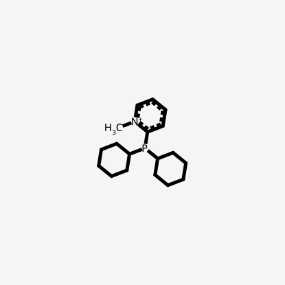 C[n+]1ccccc1P(C1CCCCC1)C1CCCCC1